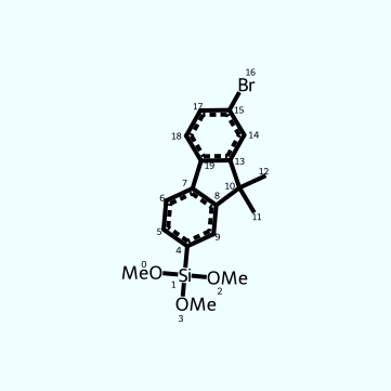 CO[Si](OC)(OC)c1ccc2c(c1)C(C)(C)c1cc(Br)ccc1-2